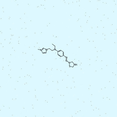 CCN(CCn1cc[n+](C)c1)c1ccc(/N=N/N2CNCS2)cc1